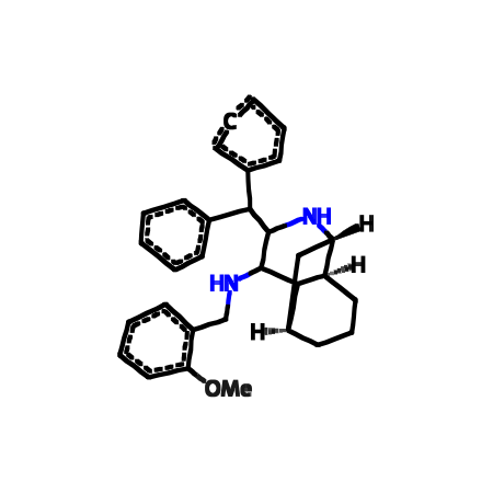 COc1ccccc1CNC1C(C(c2ccccc2)c2ccccc2)N[C@H]2C[C@H]3CCC[C@H]2C13